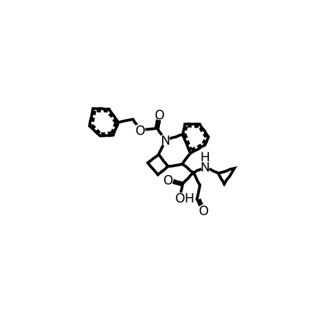 O=CCC(NC1CC1)(C(=O)O)C1c2ccccc2N(C(=O)OCc2ccccc2)C2CCC21